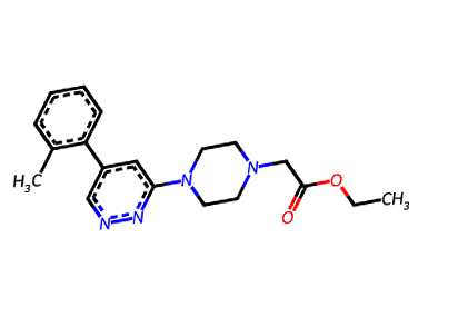 CCOC(=O)CN1CCN(c2cc(-c3ccccc3C)cnn2)CC1